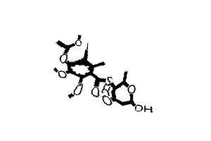 COc1c(OC(C)OC)c(I)c(C)c(C(=O)SC2C(O)CC(O)OC2C)c1OC